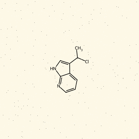 C[C](Cl)c1c[nH]c2ncccc12